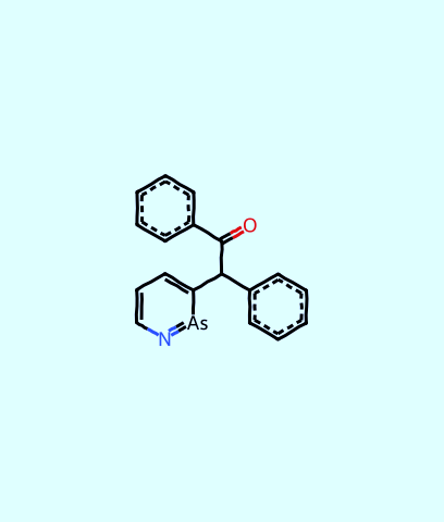 O=C(c1ccccc1)C(C1=CC=CN=[As]1)c1ccccc1